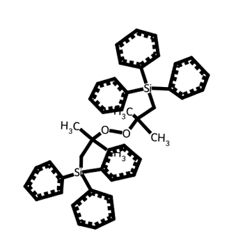 CC(C)(C[Si](c1ccccc1)(c1ccccc1)c1ccccc1)OOC(C)(C)C[Si](c1ccccc1)(c1ccccc1)c1ccccc1